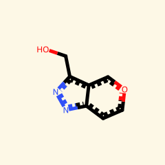 OCc1nnc2ccocc1-2